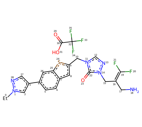 CCn1cc(-c2ccc3cc(Cn4cnn(CC(CN)=C(F)F)c4=O)sc3c2)cn1.O=C(O)C(F)(F)F